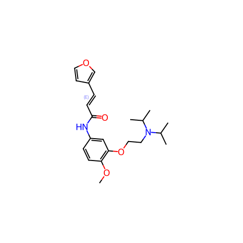 COc1ccc(NC(=O)/C=C/c2ccoc2)cc1OCCN(C(C)C)C(C)C